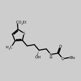 CCOC(=O)c1cc(C)c(CC[C@@H](O)CNC(=O)OC(C)(C)C)s1